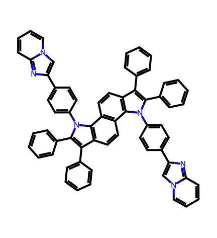 c1ccc(-c2c(-c3ccccc3)n(-c3ccc(-c4cn5ccccc5n4)cc3)c3c2ccc2c3ccc3c(-c4ccccc4)c(-c4ccccc4)n(-c4ccc(-c5cn6ccccc6n5)cc4)c32)cc1